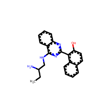 CCC(N)CNc1nc(-c2c(O)ccc3ccccc23)nc2ccccc12